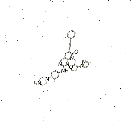 Cc1ccccc1C#Cc1cc2cnc(Nc3ccc(N4CCNCC4)c(C)c3)nc2n(Cc2occc2-n2cccn2)c1=O